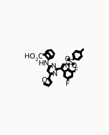 Cc1ccc(S(=O)(=O)n2cc(-c3nc(NC4C5CCC(CC5)C4C(=O)O)cc(-c4ccco4)n3)c3cc(F)cc(F)c32)cc1